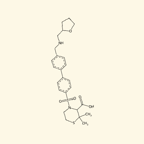 CC1(C)SCCN(S(=O)(=O)c2ccc(-c3ccc(CNCC4CCCO4)cc3)cc2)C1C(=O)O